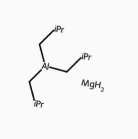 CC(C)[CH2][Al]([CH2]C(C)C)[CH2]C(C)C.[MgH2]